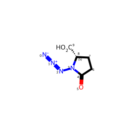 [N-]=[N+]=NN1C(=O)CC[C@H]1C(=O)O